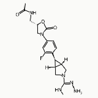 CNC(=NN)N1C[C@@H]2[C@H](C1)[C@H]2c1ccc(N2C[C@H](CNC(C)=O)OC2=O)cc1F